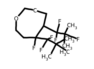 CC(C)(C)C(F)(F)C1(F)CCOCCCC1C(F)(F)C(C)(C)F